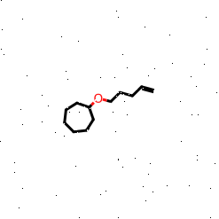 C=CCCCOC1CCCCCC1